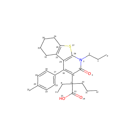 CCCn1c(=O)c(C(CC)(CCC)C(=O)O)c(-c2ccc(C)cc2)c2c3c(sc21)CCCC3